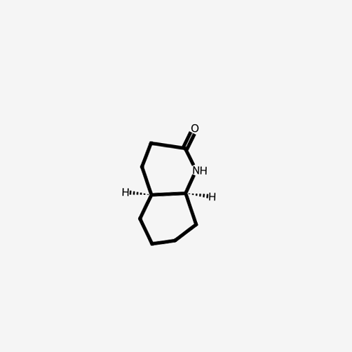 O=C1CC[C@@H]2CCCC[C@@H]2N1